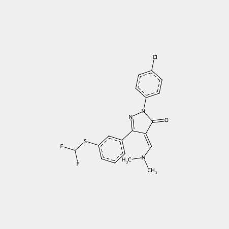 CN(C)/C=C1/C(=O)N(c2ccc(Cl)cc2)N=C1c1cccc(SC(F)F)c1